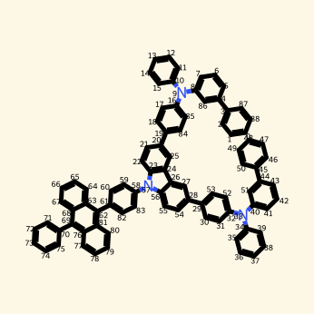 c1ccc(-c2cccc(N(c3ccccc3)c3ccc(-c4ccc5c(c4)c4cc(-c6ccc(N(c7ccccc7)c7cccc(-c8ccccc8)c7)cc6)ccc4n5-c4ccc(-c5c6ccccc6c(-c6ccccc6)c6ccccc56)cc4)cc3)c2)cc1